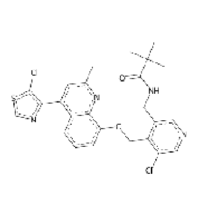 Cc1cc(-c2ncsc2Cl)c2cccc(OCc3c(Cl)cncc3CNC(=O)C(C)(C)C)c2n1